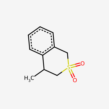 CC1CS(=O)(=O)Cc2ccccc21